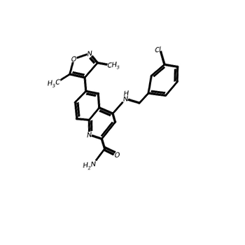 Cc1noc(C)c1-c1ccc2nc(C(N)=O)cc(NCc3cccc(Cl)c3)c2c1